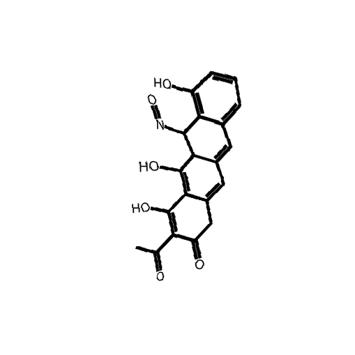 CC(=O)C1=C(O)C2=C(O)C3C(=Cc4cccc(O)c4C3N=O)C=C2CC1=O